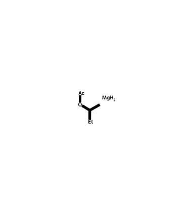 CCC(C)OC(C)=O.[MgH2]